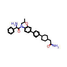 CC1CN(C(=O)C(N)c2ccccc2)c2ccc(-c3ccc(C4CCC(CC(N)=O)CC4)cc3)cc2O1